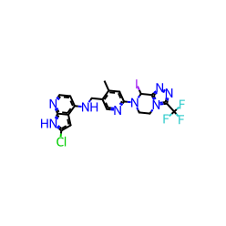 Cc1cc(N2CCn3c(nnc3C(F)(F)F)C2I)ncc1CNc1ccnc2[nH]c(Cl)cc12